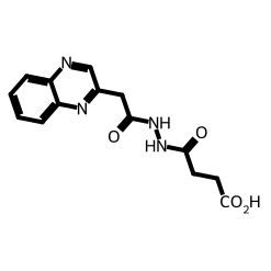 O=C(O)CCC(=O)NNC(=O)Cc1cnc2ccccc2n1